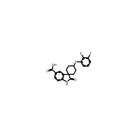 O=C(O)c1ccc2c(c1)C1(CCC(Oc3cccc(F)c3F)CC1)C(=O)N2